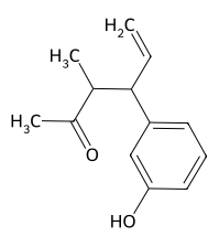 C=CC(c1cccc(O)c1)C(C)C(C)=O